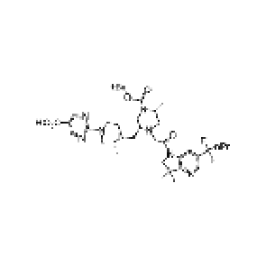 CCCC(F)(F)c1cnc2c(c1)N(C(=O)CN1C[C@@H](C)N(C(=O)OC(C)(C)C)C[C@@H]1CN1CCN(c3ncc(C(=O)O)cn3)C[C@H]1C)CC2(C)C